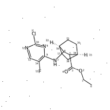 CCOC(=O)C1C(Nc2nc(Cl)ncc2F)[C@H]2CC[C@@H]1CC2